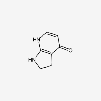 O=c1cc[nH]c2c1CCN2